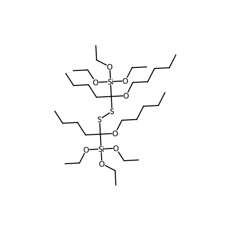 CCCCCOC(CCCC)(SSC(CCCC)(OCCCCC)[Si](OCC)(OCC)OCC)[Si](OCC)(OCC)OCC